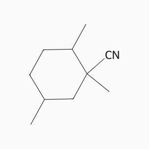 CC1CCC(C)C(C)(C#N)C1